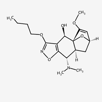 CCCCOc1noc2c1[C@@H](O)[C@@]13O[C@@H](C=C1OC)C[C@H]3[C@@H]2N(C)C